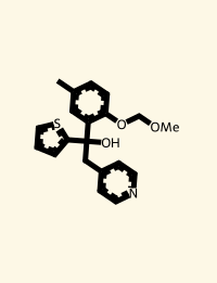 COCOc1ccc(C)cc1C(O)(Cc1ccncc1)c1cccs1